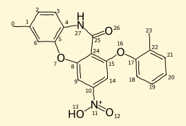 Cc1ccc2c(c1)Oc1cc([N+](=O)O)cc(Oc3ccccc3C)c1C(=O)N2